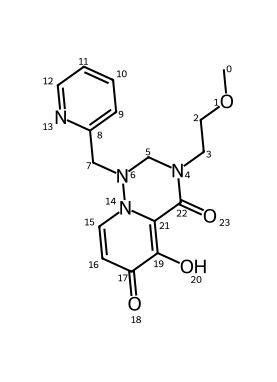 COCCN1CN(Cc2ccccn2)n2ccc(=O)c(O)c2C1=O